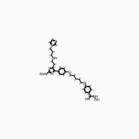 CNc1nc(-c2ccc(OCCCCCOc3ccc(C(=N)NO)cc3)cc2)c(CCNCCCn2ccnc2)s1